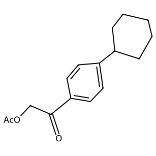 CC(=O)OCC(=O)c1ccc(C2CCCCC2)cc1